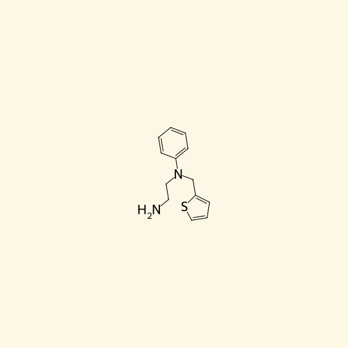 NCCN(Cc1cccs1)c1ccccc1